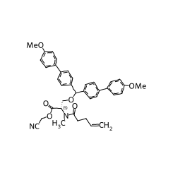 C=CCCC(=O)N(C)[C@@H](COC(c1ccc(-c2ccc(OC)cc2)cc1)c1ccc(-c2ccc(OC)cc2)cc1)C(=O)OCC#N